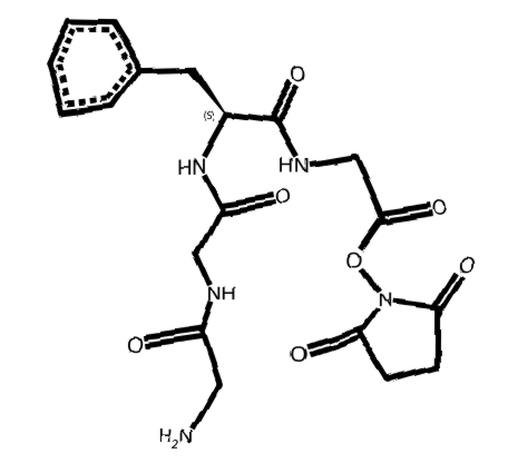 NCC(=O)NCC(=O)N[C@@H](Cc1ccccc1)C(=O)NCC(=O)ON1C(=O)CCC1=O